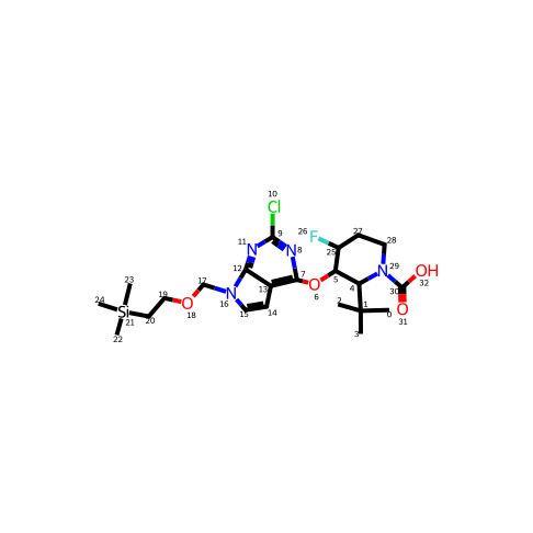 CC(C)(C)C1C(Oc2nc(Cl)nc3c2ccn3COCC[Si](C)(C)C)C(F)CCN1C(=O)O